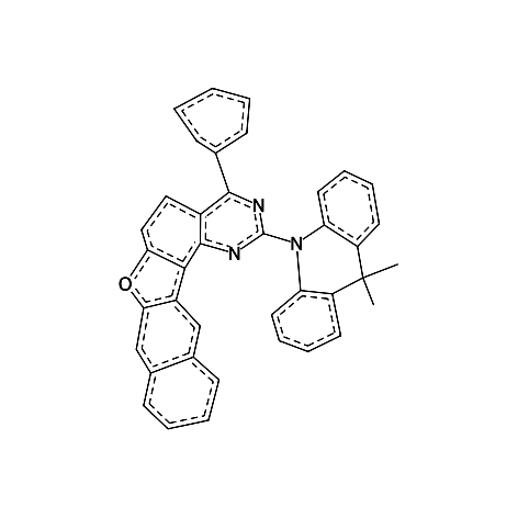 CC1(C)c2ccccc2N(c2nc(-c3ccccc3)c3ccc4oc5cc6ccccc6cc5c4c3n2)c2ccccc21